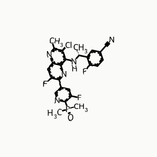 Cc1nc2cc(F)c(-c3cnc(P(C)(C)=O)c(F)c3)nc2c(N[C@H](C)c2cc(C#N)ccc2F)c1Cl